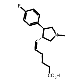 CN1C[C@H](c2ccc(F)cc2)[C@@H](/C=C\CCCC(=O)O)C1